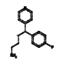 NCC[CH]C(c1ccncc1)c1ccc(F)cc1